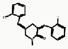 CN1CC(=Cc2ccccc2Cl)CC(=Cc2ccccc2Cl)C1=O